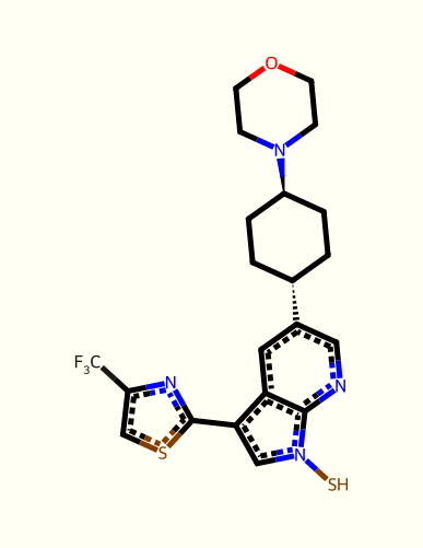 FC(F)(F)c1csc(-c2cn(S)c3ncc([C@H]4CC[C@H](N5CCOCC5)CC4)cc23)n1